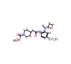 CCOC(=O)c1ccc(NC(=O)CC2CCN(C(=O)OC(C)(C)C)CC2)c(N(C)[C@@H]2CCO2)c1F